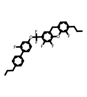 CCCc1ccc(-c2ccc(OC(F)(F)c3cc4c(c(F)c3F)Oc3c(ccc(CCC)c3F)C4)cc2F)cc1